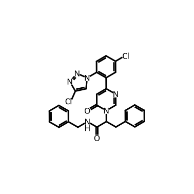 O=C(NCc1ccccc1)C(Cc1ccccc1)n1cnc(-c2cc(Cl)ccc2-n2cc(Cl)nn2)cc1=O